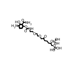 NC(=O)c1c(OC(=O)NCCOCCOCC(=O)CCCC(CON(O)O)ON(O)O)ccc(N)c1O